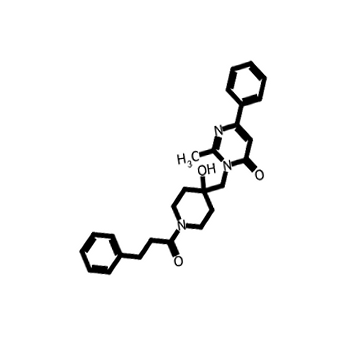 Cc1nc(-c2ccccc2)cc(=O)n1CC1(O)CCN(C(=O)CCc2ccccc2)CC1